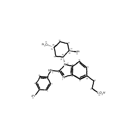 CC(C)c1ccc(Nc2nc3cc(CCC(=O)O)ccc3n2[C@@H]2C[C@H](C)CC[C@H]2C(C)C)cc1